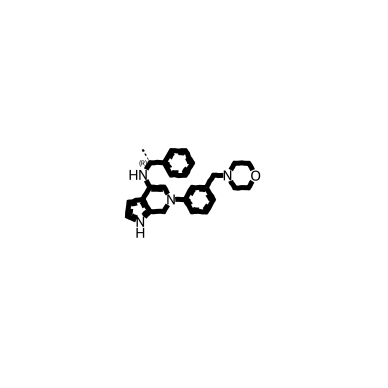 C[C@@H](NC1=CN(c2cccc(CN3CCOCC3)c2)Cc2[nH]ccc21)c1ccccc1